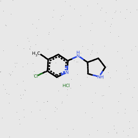 Cc1cc(NC2CCNC2)ncc1Cl.Cl